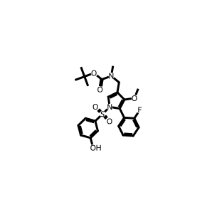 COc1c(CN(C)C(=O)OC(C)(C)C)cn(S(=O)(=O)c2cccc(O)c2)c1-c1ccccc1F